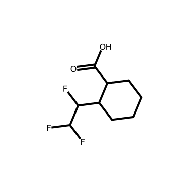 O=C(O)C1CCCCC1C(F)C(F)F